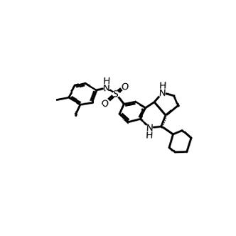 Cc1ccc(NS(=O)(=O)c2ccc3c(c2)C2NCCC2C(C2CCCCC2)N3)cc1C